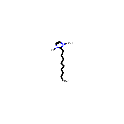 CCCCCCCCCCCCCCCCCCC1N(CCCCCCCC)C=CN1C(C)C